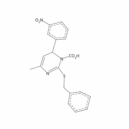 CC1=CC(c2cccc([N+](=O)[O-])c2)N(C(=O)O)C(SCc2ccccc2)=N1